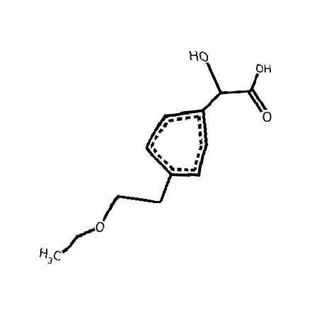 CCOCCc1ccc(C(O)C(=O)O)cc1